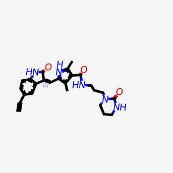 C#Cc1ccc2c(c1)/C(=C/c1[nH]c(C)c(C(=O)NCCCN3CCCNC3=O)c1C)C(=O)N2